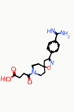 N=C(N)c1ccc(C2=NOC3(CCN(C(=O)CCC(=O)O)CC3)C2)cc1